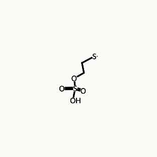 O=S(=O)(O)OCC[S]